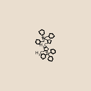 CC1=[C]([Ti]([CH2]c2ccccc2)([CH2]c2ccccc2)[CH2]c2ccccc2)CC=C1.CC1=[C]([Ti]([c]2ccccc2)([c]2ccccc2)[c]2ccccc2)CC=C1